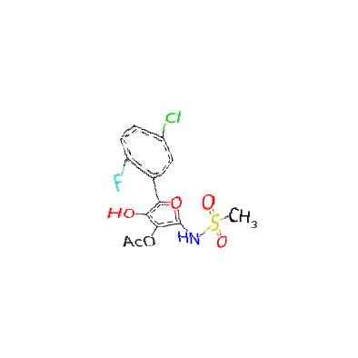 CC(=O)Oc1c(NS(C)(=O)=O)oc(-c2cc(Cl)ccc2F)c1O